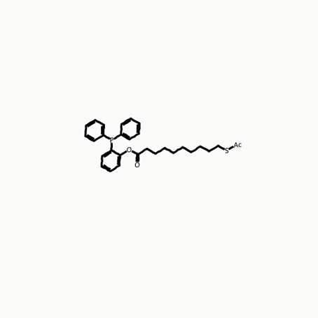 CC(=O)SCCCCCCCCCC(=O)Oc1ccccc1P(c1ccccc1)c1ccccc1